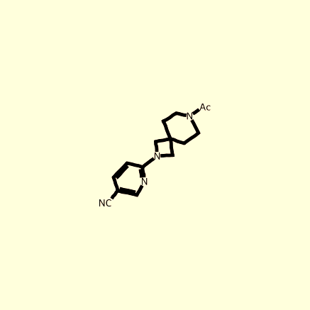 CC(=O)N1CCC2(CC1)CN(c1ccc(C#N)cn1)C2